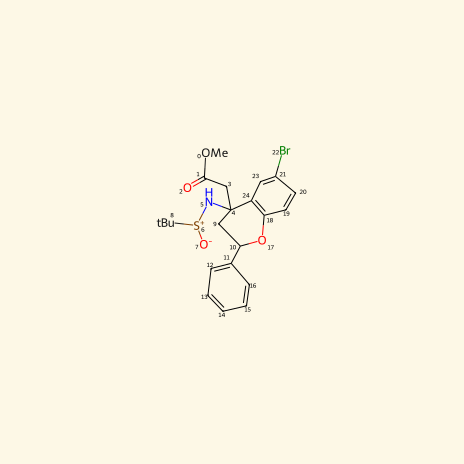 COC(=O)CC1(N[S+]([O-])C(C)(C)C)CC(c2ccccc2)Oc2ccc(Br)cc21